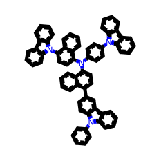 c1ccc(-n2c3ccccc3c3cc(-c4ccc(N(c5ccc(-n6c7ccccc7c7ccccc76)cc5)c5ccc(-n6c7ccccc7c7ccccc76)c6ccccc56)c5ccccc45)ccc32)cc1